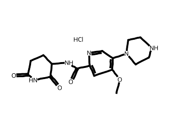 COc1cc(C(=O)NC2CCC(=O)NC2=O)ncc1N1CCNCC1.Cl